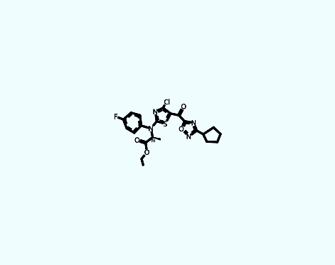 CCOC(=O)[C@H](C)N(c1ccc(F)cc1)c1nc(Cl)c(C(=O)c2nc(C3CCCC3)no2)s1